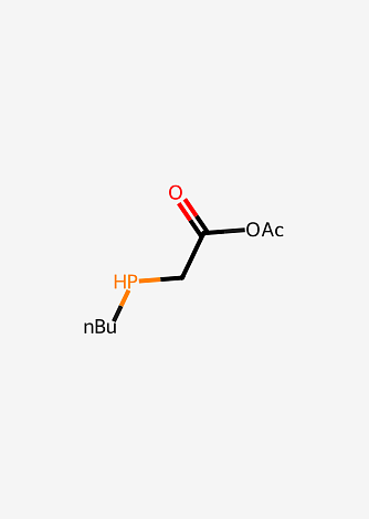 CCCCPCC(=O)OC(C)=O